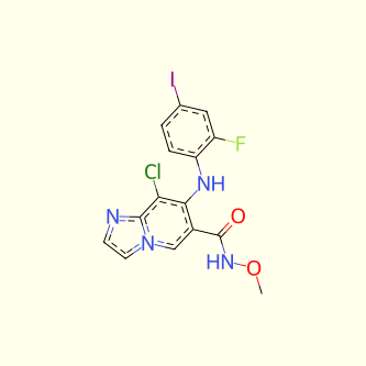 CONC(=O)c1cn2ccnc2c(Cl)c1Nc1ccc(I)cc1F